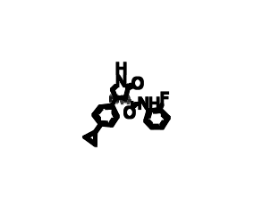 O=C1NC[C@H](c2ccc(C3CC3)cc2)[C@H]1C(=O)Nc1ccccc1F